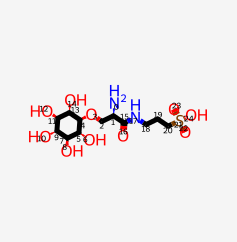 N[C@@H](CO[C@H]1[C@H](O)[C@@H](O)[C@H](O)[C@@H](O)[C@@H]1O)C(=O)NCCCS(=O)(=O)O